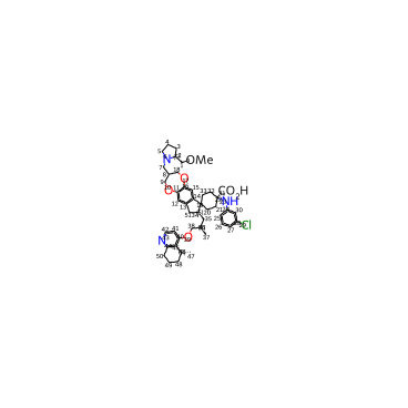 COC[C@@H]1CCCN1CC1COc2cc3c(cc2OC1)C1(CCC(Nc2cccc(Cl)c2)(C(=O)O)CC1)[C@@H](C[C@@H](C)COc1ccnc2c1[C@H](C)CCC2)C3